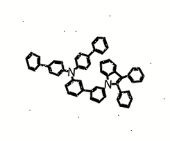 c1ccc(-c2ccc(N(c3ccc(-c4ccccc4)cc3)c3cccc(-c4cccc(-n5c(-c6ccccc6)c(-c6ccccc6)c6ccccc65)c4)c3)cc2)cc1